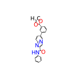 COC(=O)c1cccc(-c2ccc3nc(C(=O)Nc4ccccc4)cn3c2)c1